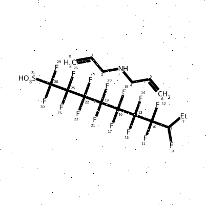 C=CCNCC=C.CCC(F)C(F)(F)C(F)(F)C(F)(F)C(F)(F)C(F)(F)C(F)(F)C(F)(F)S(=O)(=O)O